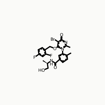 Cc1ccc(C(=O)N[C@H](C)CO)cc1-n1c(C)nc(=O)c(Br)c1OCc1ccc(F)cc1F